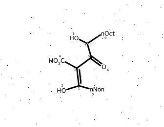 CCCCCCCCCC(O)=C(C(=O)O)C(=O)C(O)CCCCCCCC